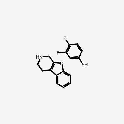 Fc1ccc(S)cc1F.c1ccc2c3c(oc2c1)CNCC3